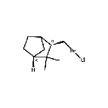 CC1(C)[C@@H]2CCC(C2)[C@H]1[CH2][Be][Cl]